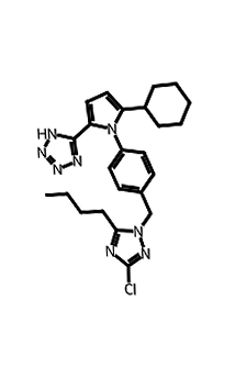 CCCCc1nc(Cl)nn1Cc1ccc(-n2c(-c3nnn[nH]3)ccc2C2CCCCC2)cc1